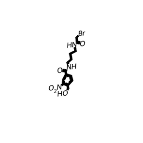 O=C(CBr)NCCCCNC(=O)c1ccc(CO)c([N+](=O)[O-])c1